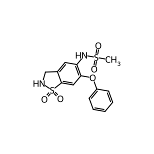 CS(=O)(=O)Nc1cc2c(cc1Oc1ccccc1)S(=O)(=O)NC2